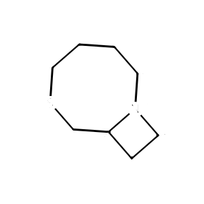 C1CCN2CCC2CSC1